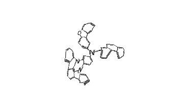 c1ccc2c(c1)ccc1cc(N(c3ccc4oc5ccccc5c4c3)c3ccc4c(c3)n3c5ccccc5c5ccc6c7ccccc7n4c6c53)ccc12